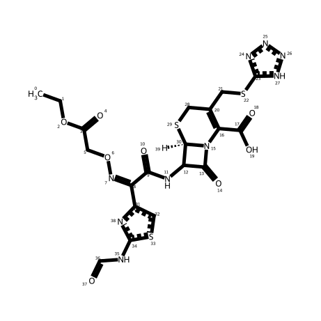 CCOC(=O)CO/N=C(\C(=O)NC1C(=O)N2C(C(=O)O)=C(CSc3nnn[nH]3)CS[C@H]12)c1csc(NC=O)n1